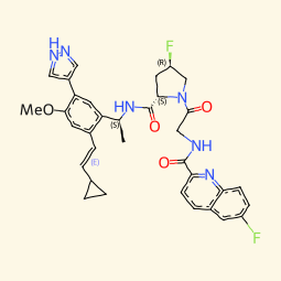 COc1cc(/C=C/C2CC2)c([C@H](C)NC(=O)[C@@H]2C[C@@H](F)CN2C(=O)CNC(=O)c2ccc3cc(F)ccc3n2)cc1-c1cn[nH]c1